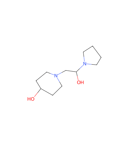 OC1CCN(CC(O)N2CCCC2)CC1